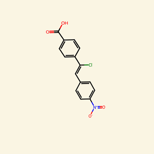 O=C(O)c1ccc(C(Cl)=Cc2ccc([N+](=O)[O-])cc2)cc1